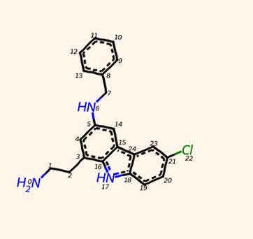 NCCc1cc(NCc2ccccc2)cc2c1[nH]c1ccc(Cl)cc12